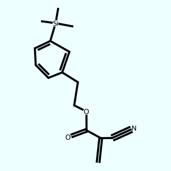 C=C(C#N)C(=O)OCCc1cccc([Si](C)(C)C)c1